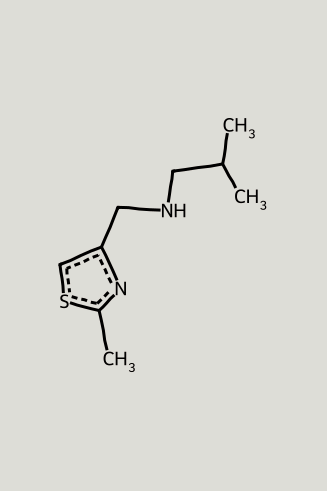 Cc1nc(CNCC(C)C)cs1